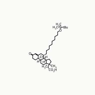 CC(C)(C)[Si](C)(C)OCCCCCCCCCC[C@@H]1CC2=CC(=O)CC[C@]2(C)[C@H]2CC[C@@]3(C)[C@@H](CC[C@]3(C)CC(=O)O)[C@H]12